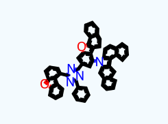 c1ccc(-c2nc(-c3cc(-n4c5cc6ccccc6cc5c5c6ccccc6ccc54)c4c(c3)oc3c5ccccc5ccc34)nc(-c3cccc4oc5ccccc5c34)n2)cc1